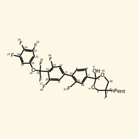 CCCCCC1(C)COC(O)(c2ccc(-c3cc(F)c(C(F)(F)Oc4cc(F)c(F)c(F)c4)c(F)c3)c(F)c2)OC1